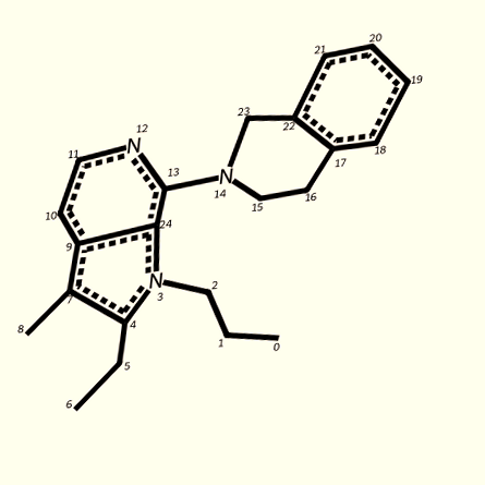 CCCn1c(CC)c(C)c2ccnc(N3CCc4ccccc4C3)c21